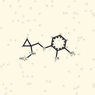 N#Cc1c(OCC2(NC(=O)O)CC2)cccc1[N+](=O)[O-]